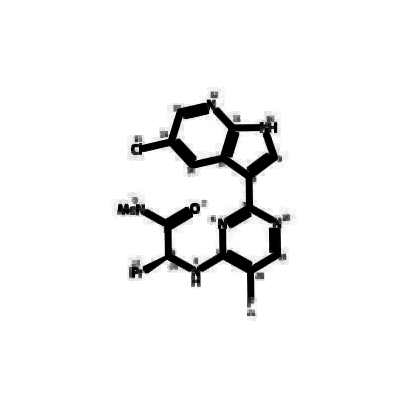 CNC(=O)[C@@H](Nc1nc(-c2c[nH]c3ncc(Cl)cc23)ncc1F)C(C)C